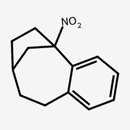 O=[N+]([O-])C12CCC(CCc3ccccc31)C2